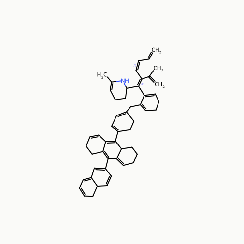 C=C/C=C\C(C(=C)C)=C(\C1=CCCC=C1CC1=CC=C(C2=C3C=CCCC3=C(C3=CC4=CC=CCC4C=C3)C3=CCCCC32)CC1)C1CCC=C(C)N1